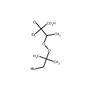 CCC(Cl)(C(=O)O)C(C)OOC(C)(C)CC(C)(C)C